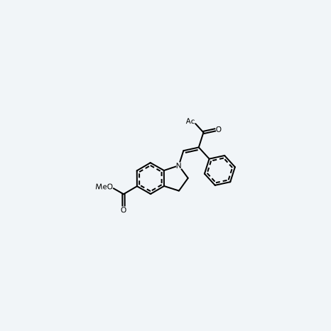 COC(=O)c1ccc2c(c1)CCN2/C=C(/C(=O)C(C)=O)c1ccccc1